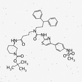 CC(C)(C)OC(=O)N1CCC[C@@H](NC(=O)CCCN(CCC(c2ccccc2)c2ccccc2)C(=O)Nc2nc(-c3ccc(NS(C)(=O)=O)cc3)cs2)C1